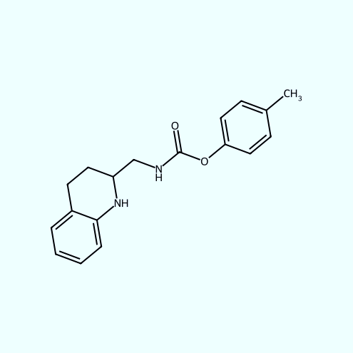 Cc1ccc(OC(=O)NCC2CCc3ccccc3N2)cc1